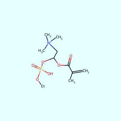 C=C(C)C(=O)OC(C[N+](C)(C)C)OP(=O)(O)OCC